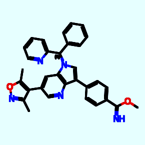 COC(=N)c1ccc(-c2cn([C@H](c3ccccc3)c3ccccn3)c3cc(-c4c(C)noc4C)cnc23)cc1